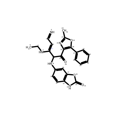 CCN/C(=C\C=N)C(Nc1ccc2[nH]c(=O)oc2c1)C(=O)c1nc(C)oc1-c1ccccc1